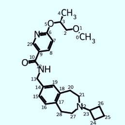 COC[C@H](C)Oc1ccc(C(=O)NCc2ccc3c(c2)CCN(C2CCC2)CC3)cn1